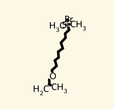 C=C(C)COCCCCCCCCCC[Si](C)(C)Br